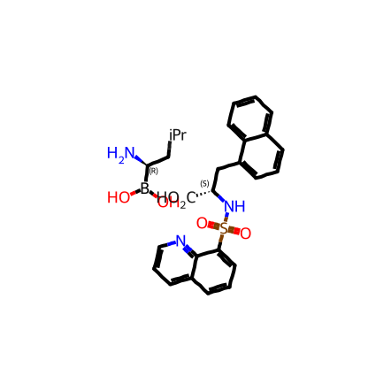 CC(C)C[C@H](N)B(O)O.O=C(O)[C@H](Cc1cccc2ccccc12)NS(=O)(=O)c1cccc2cccnc12